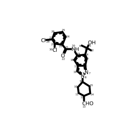 CC(C)(O)c1cc2nn(C3CCC(C=O)CC3)cc2cc1NC(=O)c1cccc(Cl)c1Cl